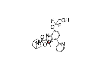 CC(C)(C)OC(=O)N1C2CC1CN(c1nc3c(OC(F)(F)CO)ccc(-c4ccccn4)c3o1)C2